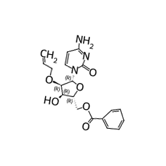 C=CCO[C@@H]1[C@H](O)[C@@H](COC(=O)c2ccccc2)O[C@H]1n1ccc(N)nc1=O